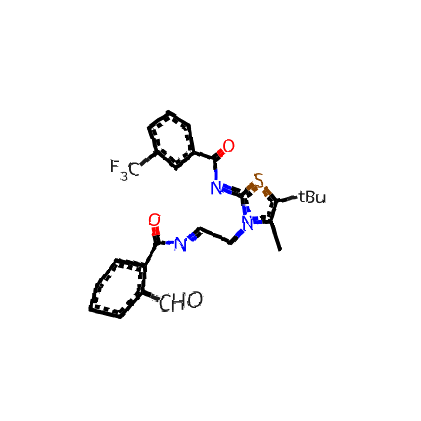 Cc1c(C(C)(C)C)sc(=NC(=O)c2cccc(C(F)(F)F)c2)n1CC=NC(=O)c1ccccc1C=O